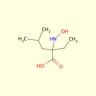 CCC(CC(C)C)(NO)C(=O)O